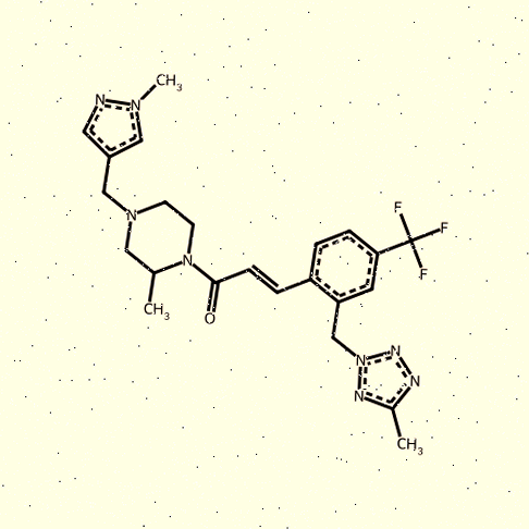 Cc1nnn(Cc2cc(C(F)(F)F)ccc2C=CC(=O)N2CCN(Cc3cnn(C)c3)CC2C)n1